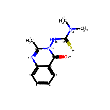 Cc1nc2ccccc2c(=O)n1NC(=S)N(C)C